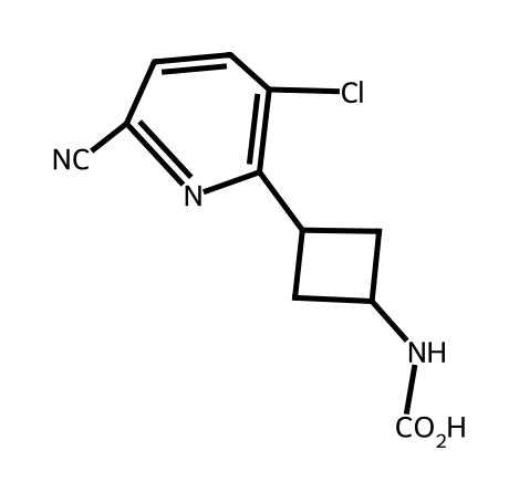 N#Cc1ccc(Cl)c(C2CC(NC(=O)O)C2)n1